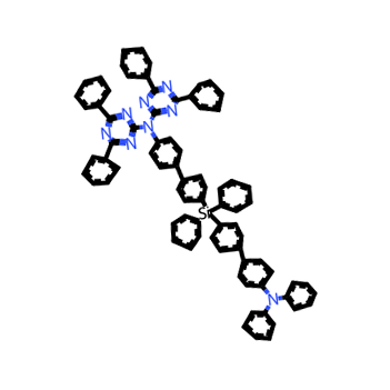 c1ccc(-c2nc(-c3ccccc3)nc(N(c3ccc(-c4ccc([Si](c5ccccc5)(c5ccccc5)c5ccc(-c6ccc(N(c7ccccc7)c7ccccc7)cc6)cc5)cc4)cc3)c3nc(-c4ccccc4)nc(-c4ccccc4)n3)n2)cc1